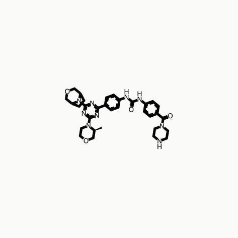 C[C@H]1COCCN1c1nc(-c2ccc(NC(=O)Nc3ccc(C(=O)N4CCNCC4)cc3)cc2)nc(N2C3CCC2COC3)n1